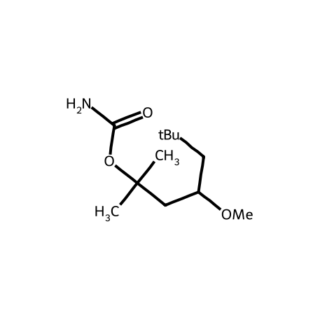 COC(CC(C)(C)C)CC(C)(C)OC(N)=O